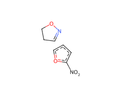 C1=NOCC1.O=[N+]([O-])c1ccco1